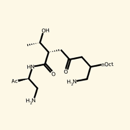 CCCCCCCCC(CN)CC(=O)C[C@H](C(=O)N[C@@H](CN)C(C)=O)[C@H](C)O